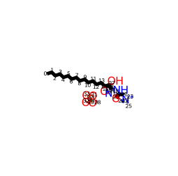 CCCCCCCCCCCCCCc1onc(NC(=O)C[N+](C)(C)C)c1O.COS(=O)(=O)[O-]